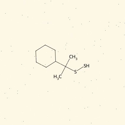 CC(C)(SS)C1CCCCC1